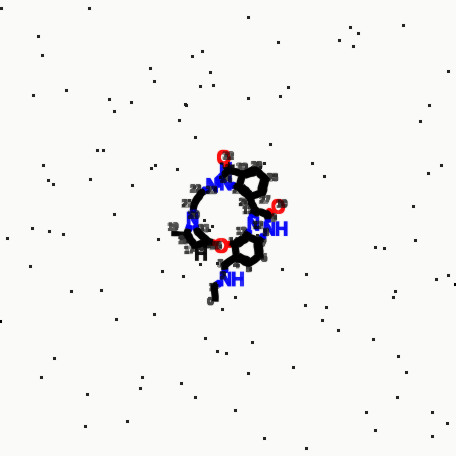 CCNCc1ccc2[nH]c(=O)c3nc2c1O[C@H]1C[C@@H](C)N(CCn2[nH]c4c-3cccc4c2=O)C1